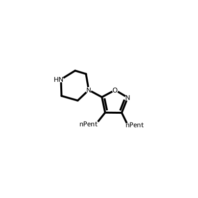 CCCCCc1noc(N2CCNCC2)c1CCCCC